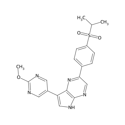 COc1ncc(-c2c[nH]c3ncc(-c4ccc(S(=O)(=O)C(C)C)cc4)nc23)cn1